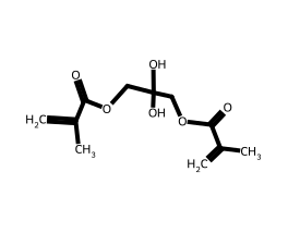 C=C(C)C(=O)OCC(O)(O)COC(=O)C(=C)C